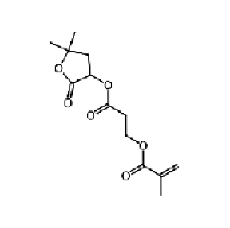 C=C(C)C(=O)OCCC(=O)OC1CC(C)(C)OC1=O